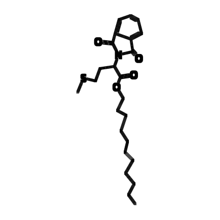 CCCCCCCCCCCOC(=O)C(CCSC)N1C(=O)c2ccccc2C1=O